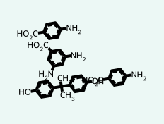 CC(C)(c1ccc(O)cc1)c1ccc(O)cc1.Nc1cc(N)cc(C(=O)O)c1.Nc1ccc(C(=O)O)cc1.Nc1ccc(C(=O)O)cc1